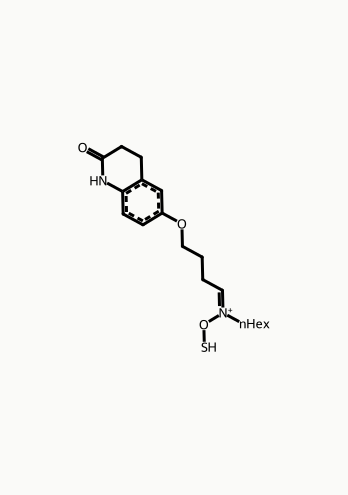 CCCCCC[N+](=CCCCOc1ccc2c(c1)CCC(=O)N2)OS